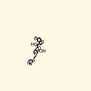 COc1ccc2nccc([C@@H](O)CC[C@@H]3CCN(CCSc4ccnnc4)C[C@@H]3C(=O)O)c2c1